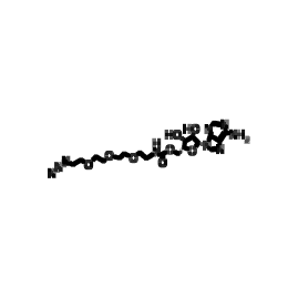 [N-]=[N+]=NCCOCCOCCOCCNC(=O)OC[C@H]1O[C@@H](n2cnc3c(N)ncnc32)[C@H](O)[C@@H]1O